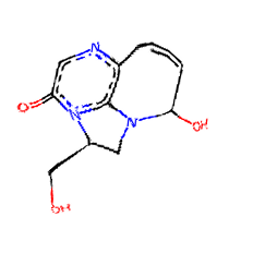 O=c1cnc2c3n1[C@H](CO)CN3C(O)C=C2